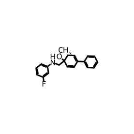 COC1(CNc2cccc(F)c2)C=CC(c2ccccc2)=CC1